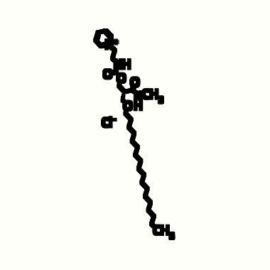 CCCCCCCCCCCCCCCCCCOC[C@H](COC(=O)NCC[n+]1ccccc1)C(=O)NC.[Cl-]